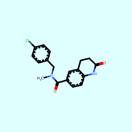 CN(Cc1ccc(Cl)cc1)C(=O)c1ccc2c(c1)CCC(=O)N2